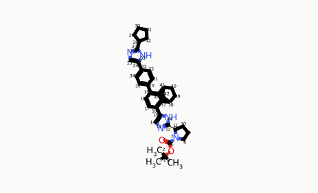 CC(C)(C)OC(=O)N1CCC[C@H]1c1ncc(-c2ccc(-c3ccc(-c4cnc(C5CCCC5)[nH]4)cc3)c3c2C2CCC3CC2)[nH]1